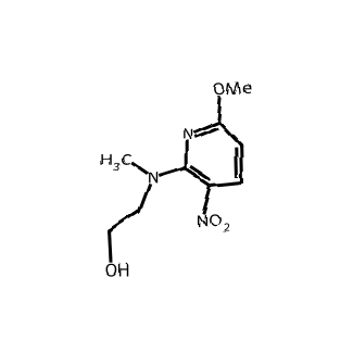 COc1ccc([N+](=O)[O-])c(N(C)CCO)n1